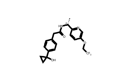 C[C@@H](NC(=O)Cc1ccc(C2(O)CC2)cc1)c1ccc(OCC(F)(F)F)cn1